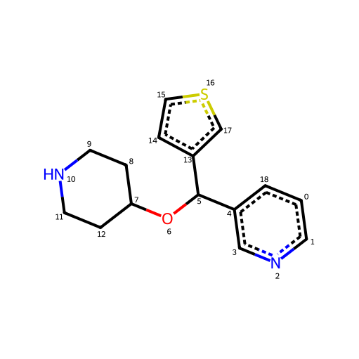 c1cncc(C(OC2CCNCC2)c2ccsc2)c1